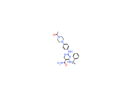 CC(=O)N1CCN(c2ccc(Nc3ncc(C(N)=O)c(N[C@H](C)c4ccccc4)n3)cc2)CC1